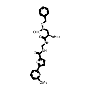 CCCCCC[C@H](CN(C=O)OCc1ccccc1)C(=O)NCNC(=O)c1ccc(-c2cccc(OC)n2)o1